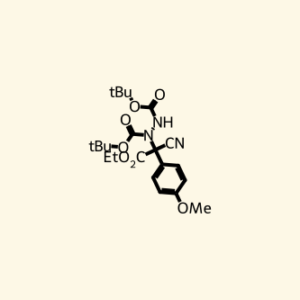 CCOC(=O)C(C#N)(c1ccc(OC)cc1)N(NC(=O)OC(C)(C)C)C(=O)OC(C)(C)C